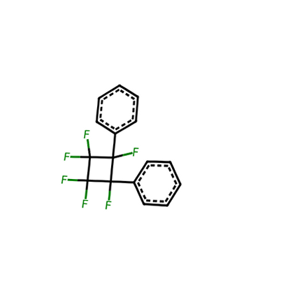 FC1(F)C(F)(F)C(F)(c2ccccc2)C1(F)c1ccccc1